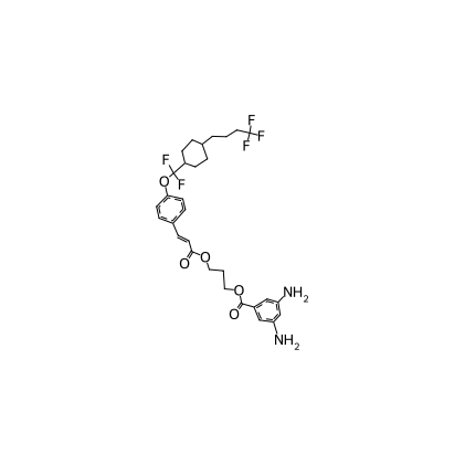 Nc1cc(N)cc(C(=O)OCCCOC(=O)C=Cc2ccc(OC(F)(F)C3CCC(CCCC(F)(F)F)CC3)cc2)c1